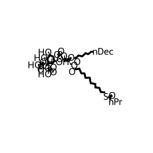 CCCCCCCCCCCCCCCC(=O)O[C@H](COC(=O)CCCCCCCCCCCSC(=O)CCC)COP(=O)(O)OC1C(O)[C@@H](OP(=O)(O)O)C(OP(=O)(O)O)[C@@H](O)[C@H]1O